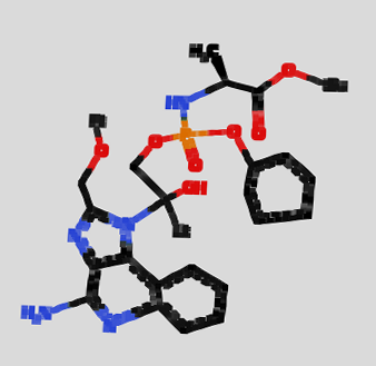 CCOCc1nc2c(N)nc3ccccc3c2n1C(O)(CC)COP(=O)(N[C@@H](C)C(=O)OC(C)(C)C)Oc1ccccc1